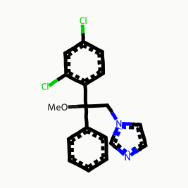 COC(Cn1ccnc1)(c1ccccc1)c1ccc(Cl)cc1Cl